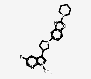 Cn1cc(C2CCN(c3ccc4oc(N5CCCCC5)nc4c3)C2)c2cc(F)cnc21